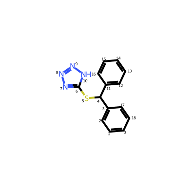 c1ccc(C(Sc2nnn[nH]2)c2ccccc2)cc1